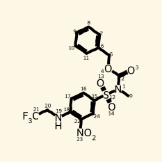 CN(C(=O)OCc1ccccc1)S(=O)(=O)c1ccc(NCC(F)(F)F)c([N+](=O)[O-])c1